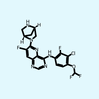 Fc1cc2ncnc(Nc3ccc(OC(F)F)c(Cl)c3F)c2nc1N1C[C@@H]2C[C@H]1CN2